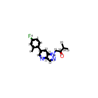 Cc1cc(F)ccc1-c1cnc2cnn(CC(=O)C(C)C)c2c1